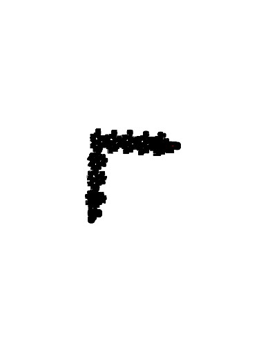 O.O.O.O.O=CS(=O)(=O)C=O.S=C1C=Cc2cccc3cccc1c23.S=C1C=Cc2cccc3cccc1c23.S=C1C=Cc2cccc3cccc1c23.S=C1C=Cc2cccc3cccc1c23.S=C1C=Cc2cccc3cccc1c23.S=C1C=Cc2cccc3cccc1c23.S=C1C=Cc2cccc3cccc1c23.S=C1C=Cc2cccc3cccc1c23